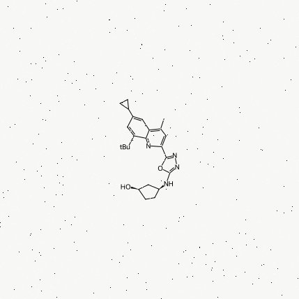 Cc1cc(-c2nnc(N[C@H]3CC[C@@H](O)C3)o2)nc2c(C(C)(C)C)cc(C3CC3)cc12